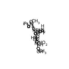 CCOc1nc2[nH]cc(F)c2cc1Oc1cc(N2CCC3(CC2)CC(N2C[C@@H](C)OC[C@H]2c2ccccc2C(C)C)C3)ccc1C(=O)NS(=O)(=O)c1cnc(NCC2CCC(C)(O)CC2)c([N+](=O)[O-])c1